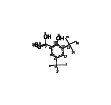 CC(C)(C)c1cc(C(=O)O)c(O)c(C(C)(C)C)c1.[B]